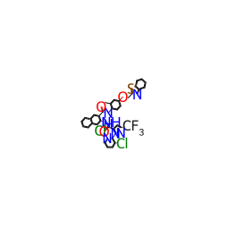 Cc1cc(OCc2nc3ccccc3s2)ccc1NC(=O)c1cc2ccccc2c(Cl)c1NC(=O)c1cc(C(F)(F)F)nn1-c1ncccc1Cl